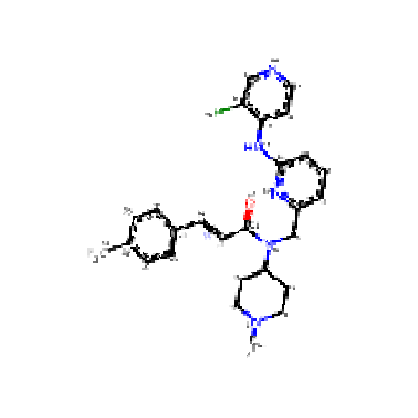 CC(C)N1CCC(N(Cc2cccc(Nc3ccncc3F)n2)C(=O)/C=C/c2ccc(C(F)(F)F)cc2)CC1